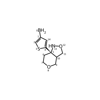 Bc1csc([C@]23CCOCC2CON3)c1